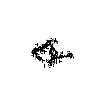 CCC1(Cn2ncc(-c3ccc(N4CCc5cccc(C(=O)Nc6nc7ncccc7s6)c5C4)nc3C(=O)O)c2C)CC2(C)CC(C)(C)CC(OCCN(CCCP(=O)(O)O)C(=O)OC/C=C/c3ccc(O[C@H]4C[C@@H](O)C[C@@H](C(=O)O)O4)c(NC(=O)CCNC(=O)CCCCCN4C(=O)C=CC4=O)c3)(C2)C1